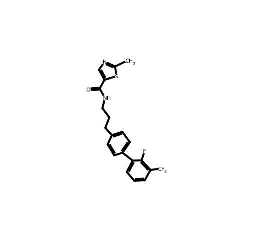 Cc1ncc(C(=O)NCCCc2ccc(-c3cccc(C(F)(F)F)c3F)cc2)s1